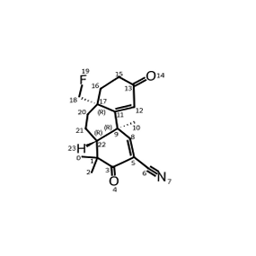 CC1(C)C(=O)C(C#N)=C[C@]2(C)C3=CC(=O)CC[C@]3(CF)CC[C@@H]12